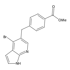 COC(=O)c1ccc(Cc2cnc3[nH]ccc3c2Br)cc1